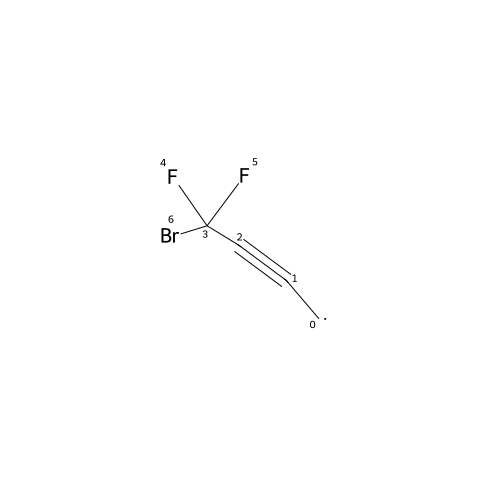 [CH2]C#CC(F)(F)Br